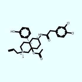 C=CC[N@@+]1(C)CC[C@@]2(c3cccc(O)c3)C[C@@H](NC(=O)Cc3ccc(Cl)c(Cl)c3)CCC2(OC(C)=O)C1